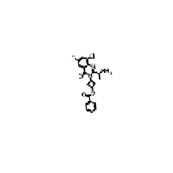 C[C@H](N)c1nc2c(Cl)cc(F)cc2c(=O)n1C1CC(OC(=O)c2ccccc2)C1